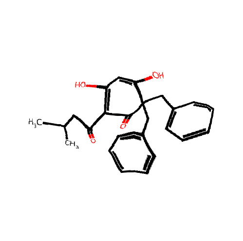 CC(C)CC(=O)C1=C(O)C=C(O)C(Cc2ccccc2)(Cc2ccccc2)C1=O